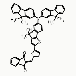 CC1(C)c2ccccc2-c2ccc(N(c3ccc4c(c3)C(C)(C)c3ccccc3-4)c3ccc4c(c3)C(C)(C)c3cc(-c5ccc(C=C6C(=O)c7ccccc7C6=O)s5)sc3-4)cc21